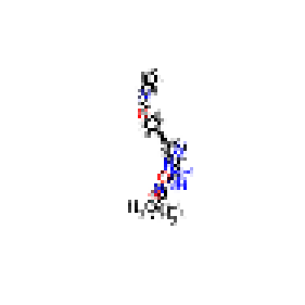 CC(C)(C)c1cc(NC(=O)Nc2cn3ncc(C#Cc4ccc(OCCN5CC6CCCC6C5)cc4)cc3n2)no1